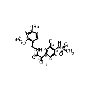 CC(C)Oc1nc(C(C)(C)C)ccc1CNC(=O)C(C)c1ccc(NS(C)(=O)=O)c(F)c1